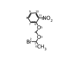 CC(Br)OCOc1ccccc1[N+](=O)[O-]